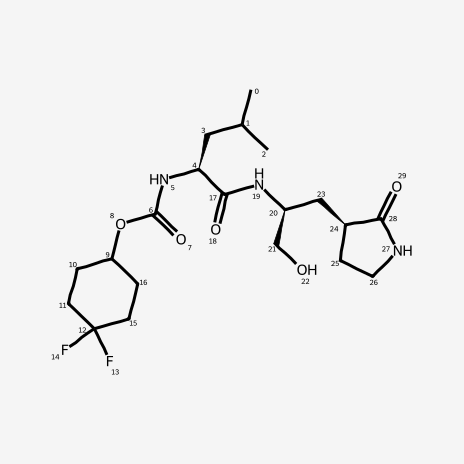 CC(C)C[C@H](NC(=O)OC1CCC(F)(F)CC1)C(=O)N[C@H](CO)C[C@@H]1CCNC1=O